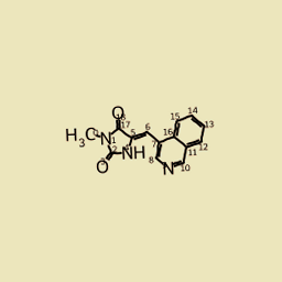 CN1C(=O)N/C(=C\c2cncc3ccccc23)C1=O